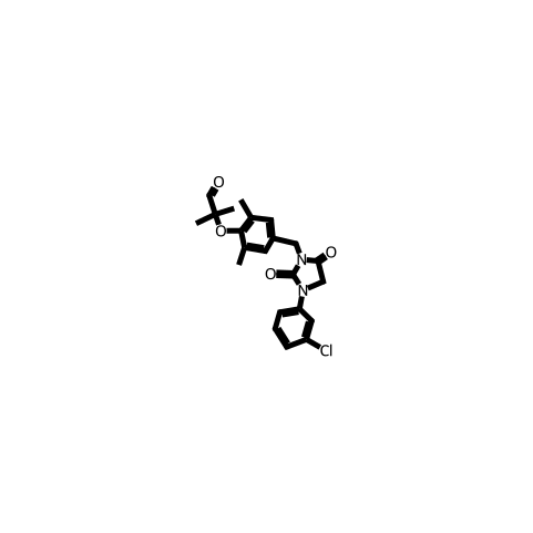 Cc1cc(CN2C(=O)CN(c3cccc(Cl)c3)C2=O)cc(C)c1OC(C)(C)C=O